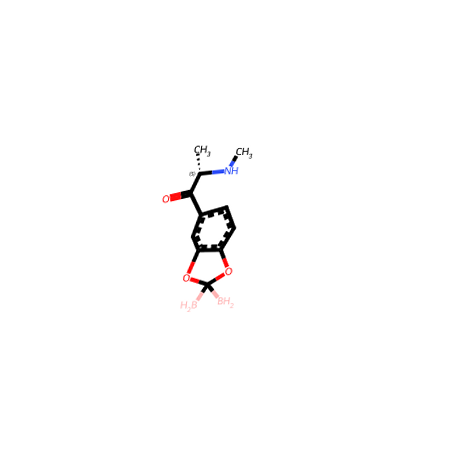 BC1(B)Oc2ccc(C(=O)[C@H](C)NC)cc2O1